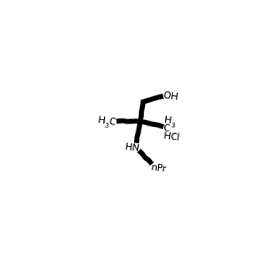 CCCNC(C)(C)CO.Cl